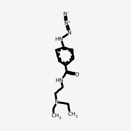 CCN(CC)CCNC(=O)c1ccc(NN=[N+]=[N-])cc1